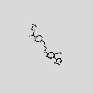 CCOC(=O)N1CCN(CCCOc2ccc(-c3ccn[nH]3)c(C)c2)CC1